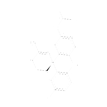 NC1=N[C@@]2(COC1)c1cc(Br)ccc1Oc1cnc(OC(F)F)cc12